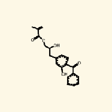 C=C(C)C(=O)OCC(O)Cc1ccc(C(=O)c2ccccc2)c(O)c1